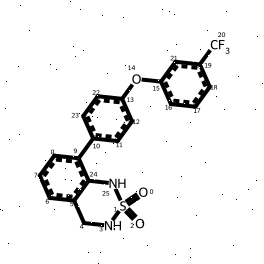 O=S1(=O)NCc2cccc(-c3ccc(Oc4cccc(C(F)(F)F)c4)cc3)c2N1